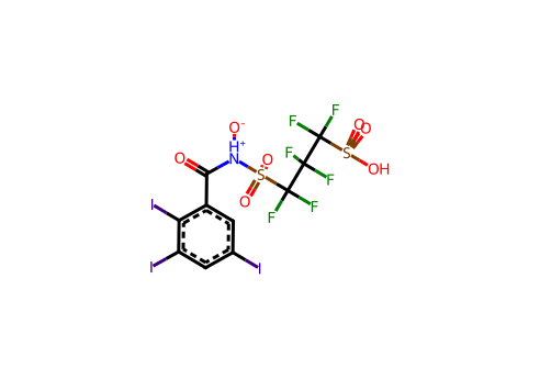 O=C(c1cc(I)cc(I)c1I)[NH+]([O-])S(=O)(=O)C(F)(F)C(F)(F)C(F)(F)S(=O)(=O)O